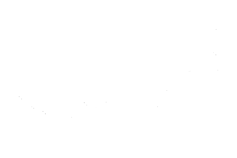 [N-]=[N+]=NCCNC(=O)COc1ccc(C#Cc2ccnc(CO)c2)cc1